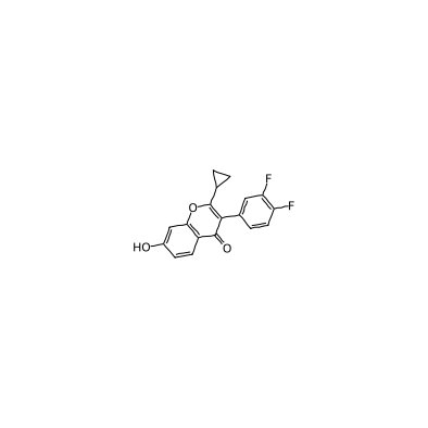 O=c1c(-c2ccc(F)c(F)c2)c(C2CC2)oc2cc(O)ccc12